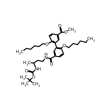 CCCCCCOc1ccc(C(=O)NCCC(C)NC(=O)OC(C)(C)C)cc1-c1cc(C(=O)OC)ccc1OCCCCCC